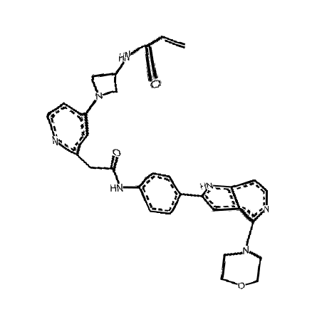 C=CC(=O)NC1CN(c2ccnc(CC(=O)Nc3ccc(-c4cc5c(N6CCOCC6)nccc5[nH]4)cc3)c2)C1